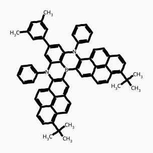 Cc1cc(C)cc(-c2cc3c4c(c2)N(c2ccccc2)c2c(cc5ccc6c(C(C)(C)C)ccc7ccc2c5c76)B4c2cc4ccc5c(C(C)(C)C)ccc6ccc(c2N3c2ccccc2)c4c65)c1